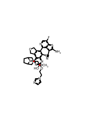 C[C@@H](O)CN1CC2CCC(C1)N2c1nc(OCCn2ccnc2)nc2c(F)c(-c3ncc(F)c4sc(N)c(C#N)c34)c3c(c12)COC3